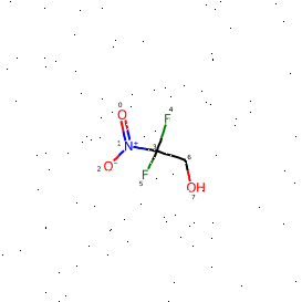 O=[N+]([O-])C(F)(F)CO